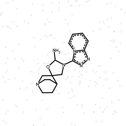 NC1OC2(CN3CCC2CC3)CN1c1nnc2ccccn12